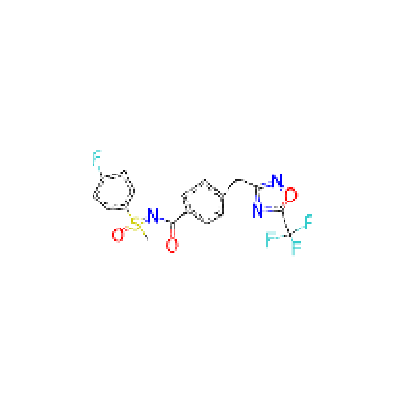 CS(=O)(=NC(=O)c1ccc(Cc2noc(C(F)(F)F)n2)cc1)c1ccc(F)cc1